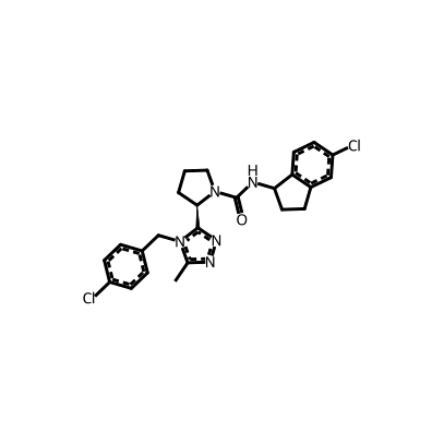 Cc1nnc([C@H]2CCCN2C(=O)NC2CCc3cc(Cl)ccc32)n1Cc1ccc(Cl)cc1